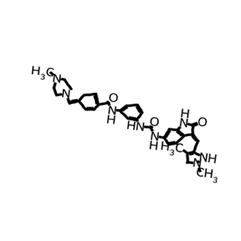 CC1=C(C=C2C(=O)Nc3cc(NC(=O)Nc4cccc(NC(=O)C5=CCC(=CN6CCN(C)CC6)C=C5)c4)ccc32)NN(C)C1